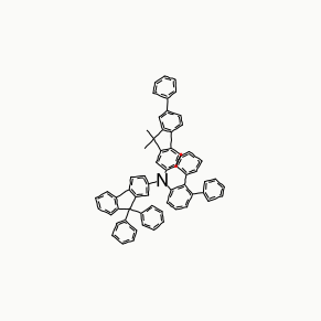 CC1(C)c2cc(-c3ccccc3)ccc2-c2ccc(N(c3ccc4c(c3)C(c3ccccc3)(c3ccccc3)c3ccccc3-4)c3cccc(-c4ccccc4)c3-c3ccccc3)cc21